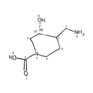 NCC1CCN(C(=O)O)C[C@@H]1O